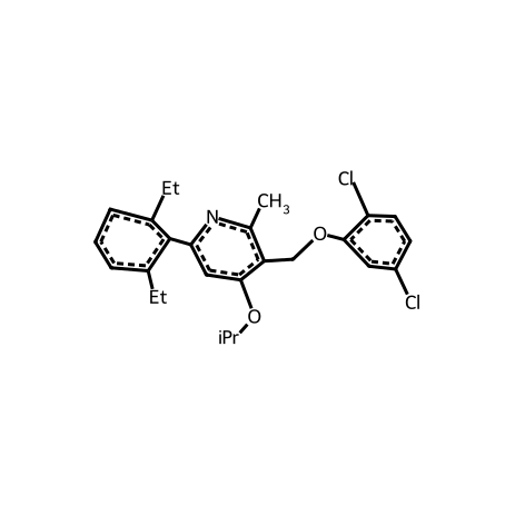 CCc1cccc(CC)c1-c1cc(OC(C)C)c(COc2cc(Cl)ccc2Cl)c(C)n1